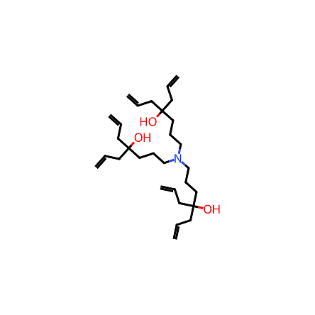 C=CCC(O)(CC=C)CCCN(CCCC(O)(CC=C)CC=C)CCCC(O)(CC=C)CC=C